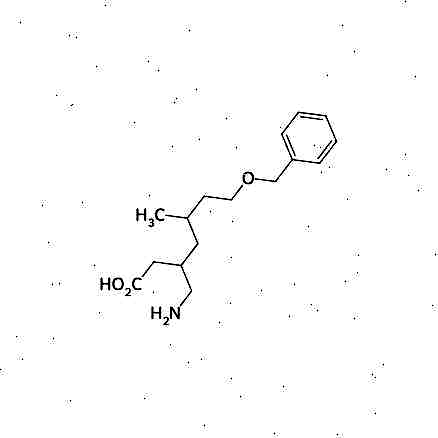 CC(CCOCc1ccccc1)CC(CN)CC(=O)O